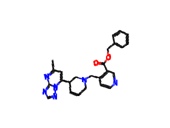 Cc1cc(C2CCCN(Cc3ccncc3C(=O)OCc3ccccc3)C2)n2ncnc2n1